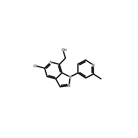 Cc1cc(-n2ncc3cc(Cl)nc(CO)c32)ccn1